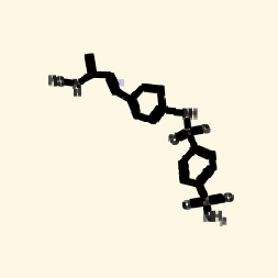 C=C(/C=C/c1ccc(NS(=O)(=O)c2ccc(S(N)(=O)=O)cc2)cc1)NO